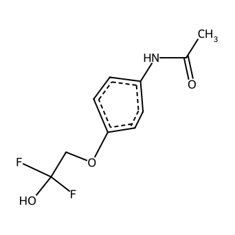 CC(=O)Nc1ccc(OCC(O)(F)F)cc1